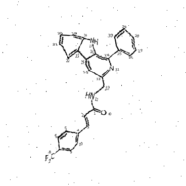 O=C(/C=C/c1ccc(C(F)(F)F)cc1)NCc1cc2c([nH]c3ccccc32)c(-c2ccccc2)n1